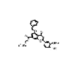 COc1ccc(-c2cc(=O)c3c(OCc4ccccc4)cc(C(=O)OCOC(C)(C)C)cc3o2)cc1OC